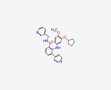 COc1ccc(Nc2c(C(=O)NCc3cccnc3)cccc2-c2ccncc2)cc1OC1CCCC1